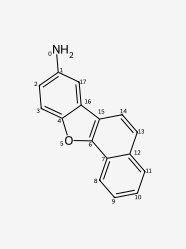 Nc1ccc2oc3c4ccccc4ccc3c2c1